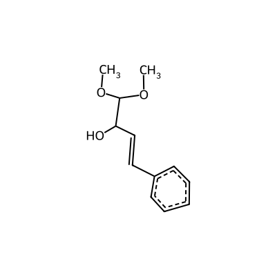 COC(OC)C(O)C=Cc1ccccc1